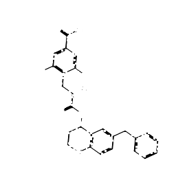 Cc1cc(C(N)=O)cc(C)c1C[C@H](N)C(=O)N[C@@H]1CCNc2ccc(Cc3ccccc3)cc21